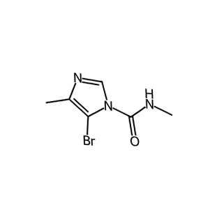 CNC(=O)n1cnc(C)c1Br